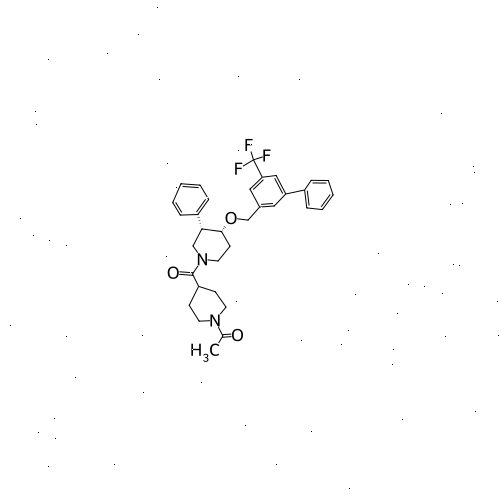 CC(=O)N1CCC(C(=O)N2CC[C@@H](OCc3cc(-c4ccccc4)cc(C(F)(F)F)c3)[C@@H](c3ccccc3)C2)CC1